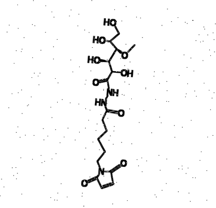 CO[C@H](C(O)CO)[C@H](O)C(O)C(=O)NNC(=O)CCCCCN1C(=O)C=CC1=O